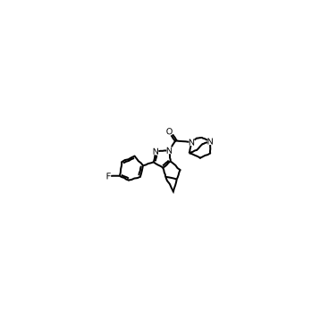 O=C(N1CCN2CCC1CC2)n1nc(-c2ccc(F)cc2)c2c1CC1CC21